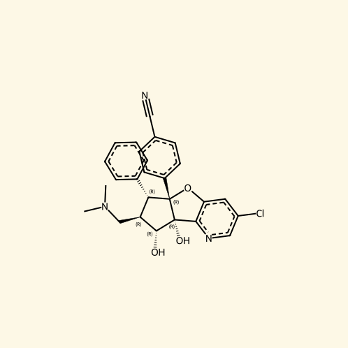 CN(C)C[C@@H]1[C@@H](O)[C@]2(O)c3ncc(Cl)cc3O[C@@]2(c2ccc(C#N)cc2)[C@H]1c1ccccc1